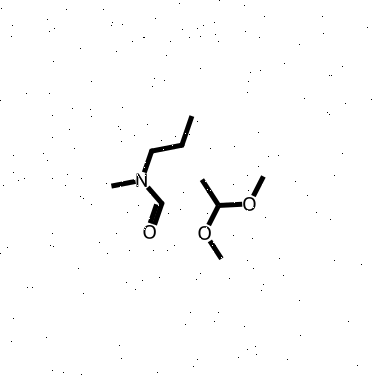 CCCN(C)C=O.COC(C)OC